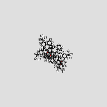 CC(C)(C)c1ccc(-c2cc(C(C)(C)C)ccc2N(c2ccc(C(C)(C)C)cc2)c2cc3c(c4c2oc2ccccc24)-c2c(cc(N(c4ccc(C(C)(C)C)cc4)c4ccc(C(C)(C)C)cc4-c4ccc(C(C)(C)C)cc4)c4c2oc2ccccc24)C3(c2ccccc2)c2ccccc2)cc1